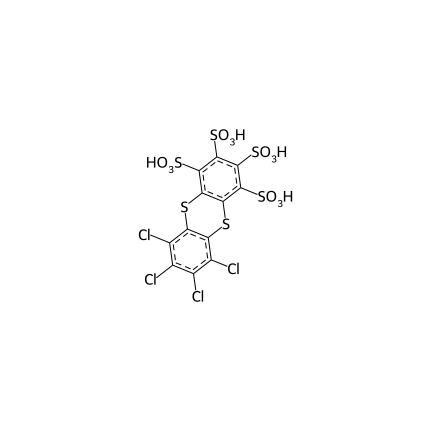 O=S(=O)(O)c1c2c(c(S(=O)(=O)O)c(S(=O)(=O)O)c1S(=O)(=O)O)Sc1c(Cl)c(Cl)c(Cl)c(Cl)c1S2